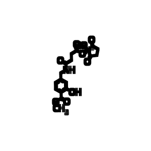 COC(=O)c1ccc(CNC(=O)CCC(=O)O[N+]2(O)C(=O)CCC2=O)cc1O